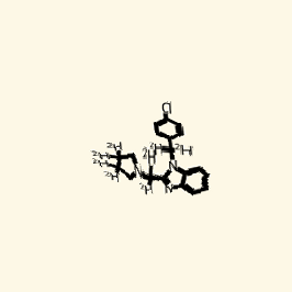 [2H]C([2H])(c1nc2ccccc2n1C([2H])([2H])c1ccc(Cl)cc1)N1CC([2H])([2H])C([2H])([2H])C1